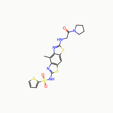 Cc1c2nc(NCC(=O)N3CCCC3)sc2cc2sc(NS(=O)(=O)c3cccs3)nc12